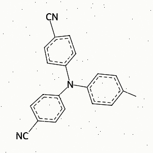 Cc1ccc(N(c2ccc(C#N)cc2)c2ccc(C#N)cc2)cc1